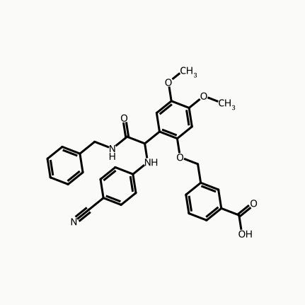 COc1cc(OCc2cccc(C(=O)O)c2)c(C(Nc2ccc(C#N)cc2)C(=O)NCc2ccccc2)cc1OC